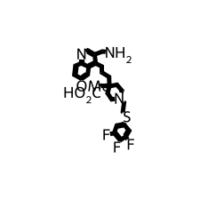 COc1ccc2ncc(CN)c(CCCC3(CC(=O)O)CCN(CCSc4cc(F)c(F)c(F)c4)CC3)c2c1